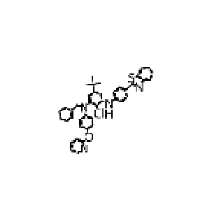 CC(C)(C)c1cc(Nc2ccc(-c3nc4ccccc4s3)cc2)c(Cl)c(N(Cc2ccccc2)c2ccc(Oc3ccccn3)cc2)c1